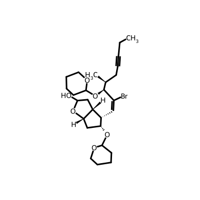 CCC#CC[C@H](C)[C@H](OC1CCCCO1)/C(Br)=C\[C@H]1[C@H]2CC(O)O[C@H]2C[C@H]1OC1CCCCO1